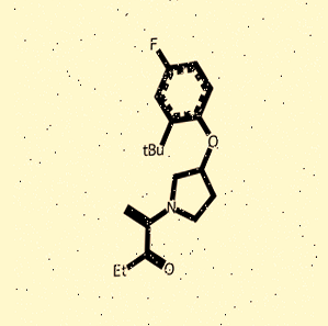 C=C(C(=O)CC)N1CCC(Oc2ccc(F)cc2C(C)(C)C)C1